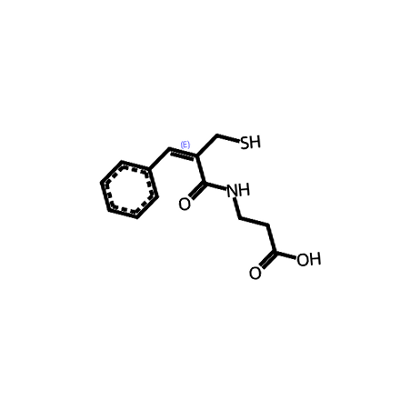 O=C(O)CCNC(=O)/C(=C\c1ccccc1)CS